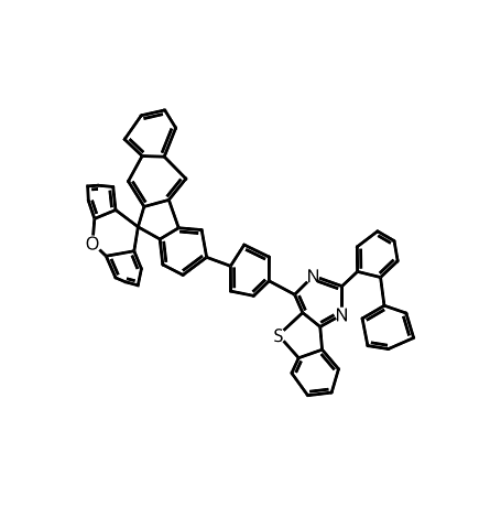 c1ccc(-c2ccccc2-c2nc(-c3ccc(-c4ccc5c(c4)-c4cc6ccccc6cc4C54c5ccccc5Oc5ccccc54)cc3)c3sc4ccccc4c3n2)cc1